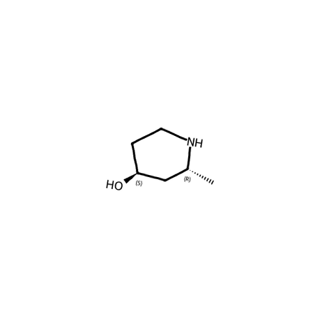 C[C@@H]1C[C@@H](O)CCN1